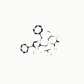 CC(C)(C)[C@H](c1nc(-c2ccccc2)cn1Cc1ccccc1)N1C[C@@H](CO)NC(=O)C1=O